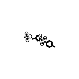 Cc1ccc(S(=O)(=O)n2cc(COS(C)(=O)=O)cn2)cc1